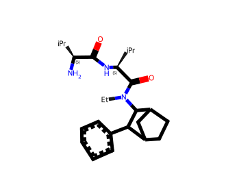 CCN(C(=O)[C@@H](NC(=O)[C@@H](N)C(C)C)C(C)C)C1C2CCC(C2)C1c1ccccc1